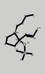 CCCC[C@@H]1CCC[C@]1(/C=C/I)O[Si](C)(C)C